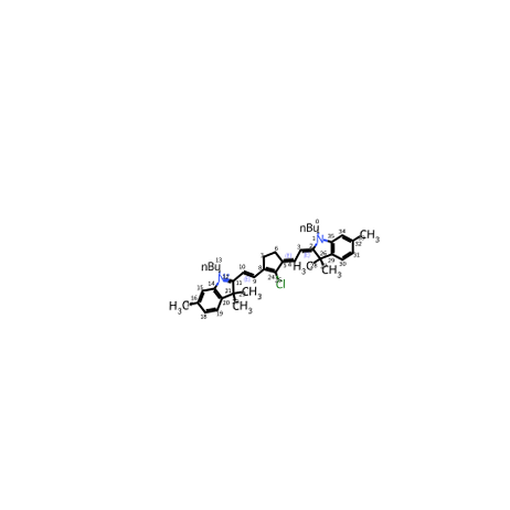 CCCCN1/C(=C/C=C2\CCC(/C=C/C3=[N+](CCCC)c4cc(C)ccc4C3(C)C)=C2Cl)C(C)(C)c2ccc(C)cc21